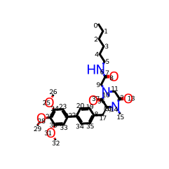 CCCCCCNC(=O)CN1CC(=O)N(C)[C@@H](Cc2ccc(-c3cc(OC)c(OC)c(OC)c3)cc2)C1=O